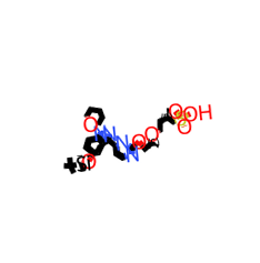 C[C@H](CCO[C@@H](C)COc1nccc(-c2nn(C3CCCCO3)c3ccc(O[Si](C)(C)C(C)(C)C)cc23)n1)CS(=O)(=O)O